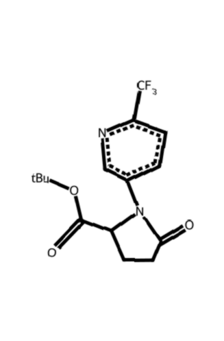 CC(C)(C)OC(=O)C1CCC(=O)N1c1ccc(C(F)(F)F)nc1